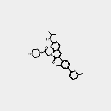 Cc1cccc(-c2ccc(-c3cc4cnc(NC(C)C)nc4n(CC(=O)N4CCNCC4)c3=O)c(C)c2)n1